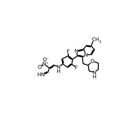 Cc1ccn2c(CC3CNCCO3)c(-c3c(F)cc(N/C=C(\C=N)[N+](=O)[O-])cc3F)nc2c1